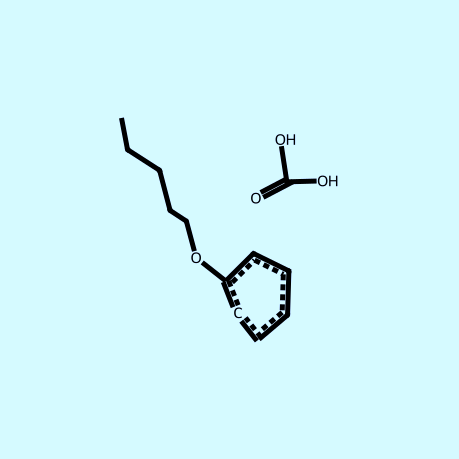 CCCCCOc1ccccc1.O=C(O)O